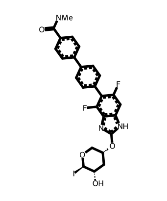 CNC(=O)c1ccc(-c2ccc(-c3c(F)cc4[nH]c(O[C@H]5CO[C@H](I)[C@@H](O)C5)nc4c3F)cc2)cc1